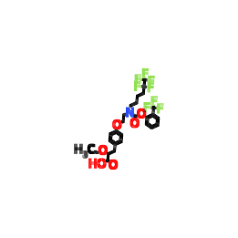 CCOC(Cc1ccc(OCCN(CCCCC(F)(F)C(F)(F)F)C(=O)Oc2ccccc2C(F)(F)F)cc1)C(=O)O